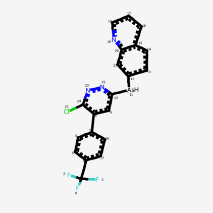 FC(F)(F)c1ccc(-c2cc([AsH]c3ccc4cccnc4c3)nnc2Cl)cc1